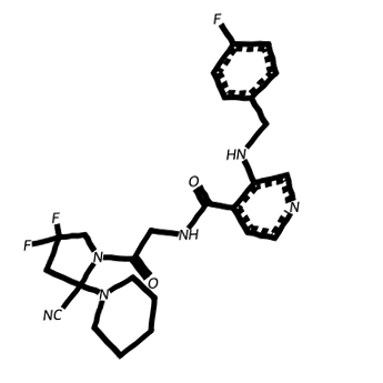 N#CC1(N2CCCCC2)CC(F)(F)CN1C(=O)CNC(=O)c1ccncc1NCc1ccc(F)cc1